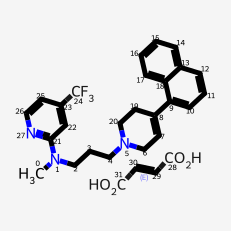 CN(CCCN1CC=C(c2cccc3ccccc23)CC1)c1cc(C(F)(F)F)ccn1.O=C(O)/C=C/C(=O)O